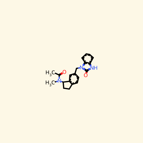 CC(=O)N(C)C1CCc2ccc(Cn3c(=O)[nH]c4ccccc43)cc21